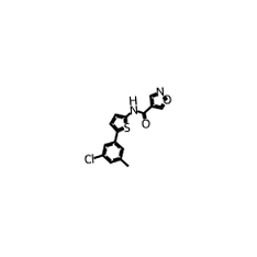 Cc1cc(Cl)cc(-c2ccc(NC(=O)c3cnoc3)s2)c1